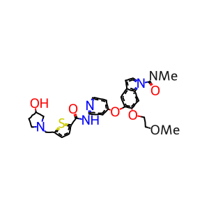 CNC(=O)n1ccc2cc(Oc3ccnc(NC(=O)c4ccc(CN5CCC(O)C5)s4)c3)c(OCCOC)cc21